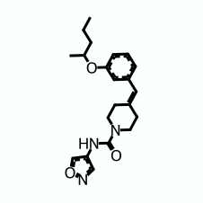 CCCC(C)Oc1cccc(C=C2CCN(C(=O)Nc3cnoc3)CC2)c1